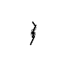 CCCCCCCCc1ccc(-c2ncc(OCCC(F)CCC(C)CCCCC)cn2)cc1